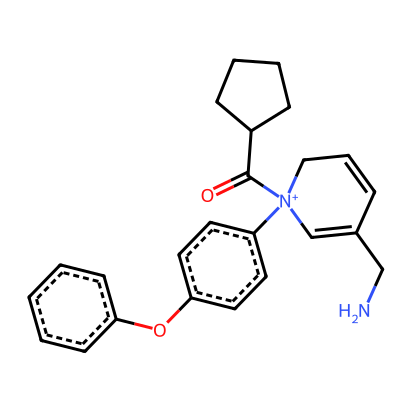 NCC1=C[N+](C(=O)C2CCCC2)(c2ccc(Oc3ccccc3)cc2)CC=C1